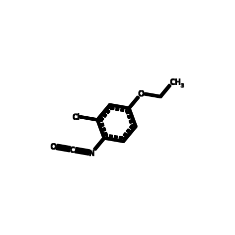 CCOc1ccc(N=C=O)c(Cl)c1